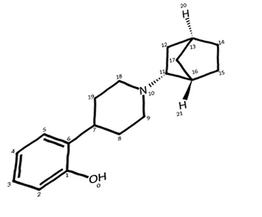 Oc1ccccc1C1CCN([C@@H]2C[C@H]3CC[C@H]2C3)CC1